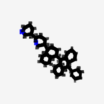 C1=CCC(c2c3ccccc3c(-c3ccc(-c4ccc(-c5cccnc5)nc4)c4ccccc34)c3ccccc23)C=C1